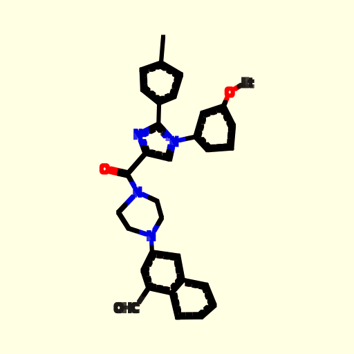 CCOc1cccc(-n2cc(C(=O)N3CCN(c4cc(C=O)c5ccccc5c4)CC3)nc2-c2ccc(C)cc2)c1